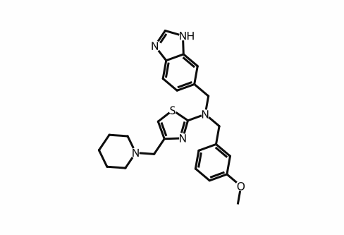 COc1cccc(CN(Cc2ccc3nc[nH]c3c2)c2nc(CN3CCCCC3)cs2)c1